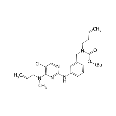 C=CCCN(Cc1cccc(Nc2ncc(Cl)c(N(C)CC=C)n2)c1)C(=O)OC(C)(C)C